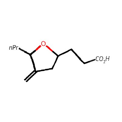 C=C1CC(CCC(=O)O)OC1CCC